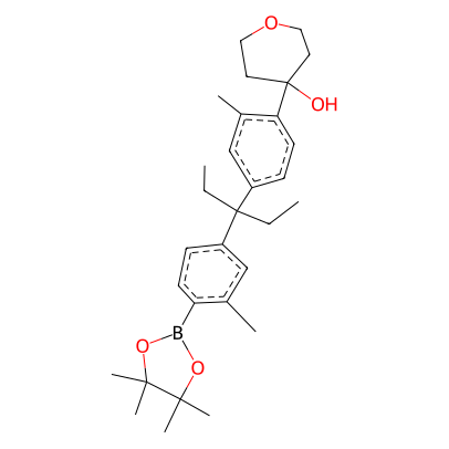 CCC(CC)(c1ccc(B2OC(C)(C)C(C)(C)O2)c(C)c1)c1ccc(C2(O)CCOCC2)c(C)c1